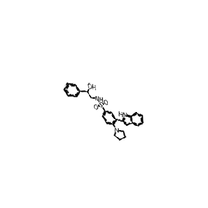 O=S(=O)(NCC(O)c1ccccc1)c1ccc(N2CCCC2)c(-c2cc3ccccc3[nH]2)c1